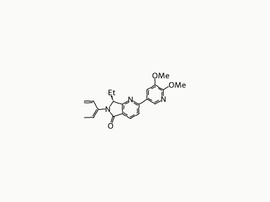 C=C/C(=C\C)N1C(=O)c2ccc(-c3cnc(OC)c(OC)c3)nc2[C@@H]1CC